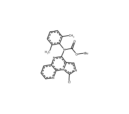 Cc1cccc(C)c1N(C(=O)OC(C)(C)C)c1nc2cccnc2n2c(Cl)ncc12